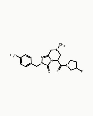 Cc1ccc(Cn2nc3n(c2=O)C(C(=O)N2CCC(F)C2)CN(C)C3)cc1